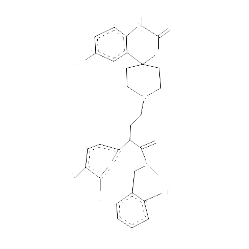 CN(Cc1ccccc1Cl)C(=O)C(CCN1CCC2(CC1)OC(=O)Nc1ccc(F)cc12)c1ccc(Cl)c(Cl)c1